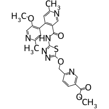 COC(=O)c1ccc(COc2nnc(NC(=O)c3cnc(C)cc3-c3cc(C)ncc3OC)s2)nc1